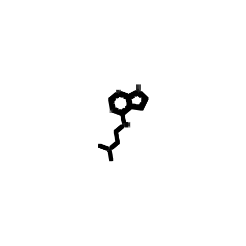 CN(C)CCNc1ncnc2[nH]ccc12